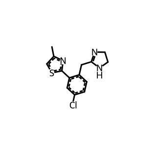 Cc1csc(-c2cc(Cl)ccc2CC2=NCCN2)n1